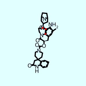 Cc1cc(C[C@@H](OC(=O)N2CCC3(CC2)CC(=O)Nc2ccccc23)C(=O)N2CCN(C3CC4CCC(C3)N4C)CC2)cc(Cl)c1N